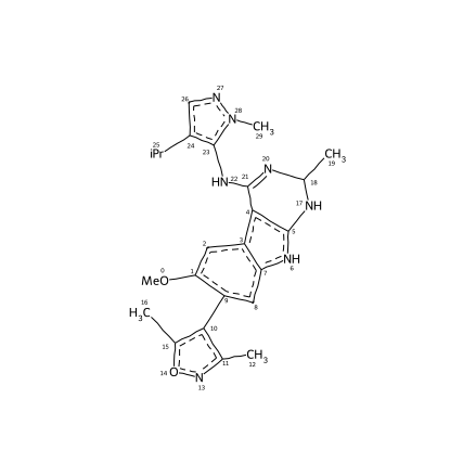 COc1cc2c3c([nH]c2cc1-c1c(C)noc1C)NC(C)N=C3Nc1c(C(C)C)cnn1C